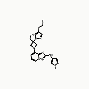 N#CCC1(n2cc(CCF)cn2)CN(c2cccn3nc(Nc4cn[nH]c4)nc23)C1